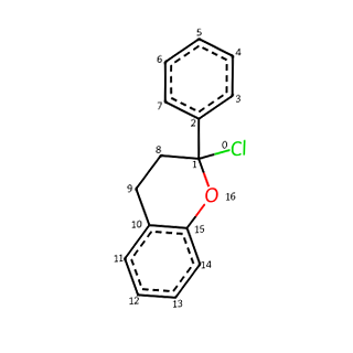 ClC1(c2ccccc2)CCc2ccccc2O1